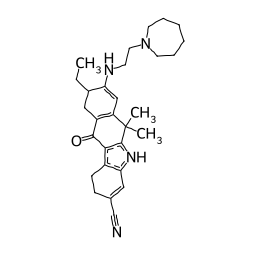 CCC1CC2=C(C=C1NCCN1CCCCCC1)C(C)(C)c1[nH]c3c(c1C2=O)CCC(C#N)=C3